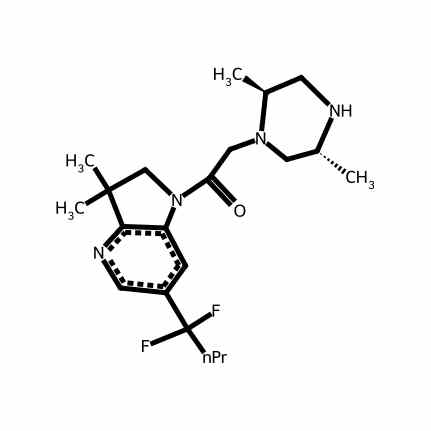 CCCC(F)(F)c1cnc2c(c1)N(C(=O)CN1C[C@@H](C)NC[C@@H]1C)CC2(C)C